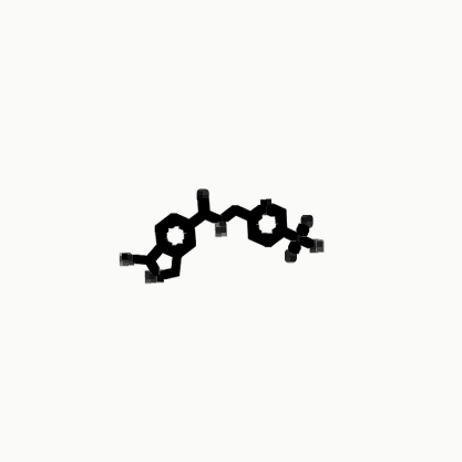 CCS(=O)(=O)c1ccc(CNC(=O)c2ccc3c(c2)CNC3C(C)C)nc1